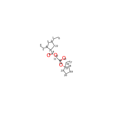 CCC1CC(CC)C(C(=O)OCC(=O)OC2(CC)CCCC2)C1